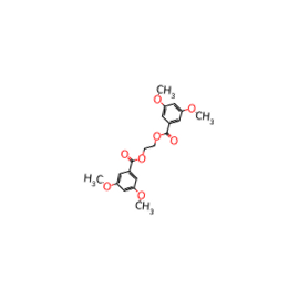 COc1cc(OC)cc(C(=O)OCCOC(=O)c2cc(OC)cc(OC)c2)c1